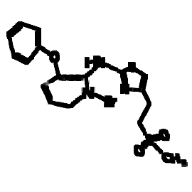 CS(=O)(=O)CCc1csc(NC2=C(Oc3ccccc3)C=CCN2Br)n1